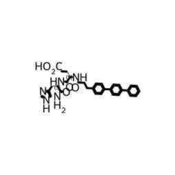 NC(=O)[C@H](Cc1c[nH]cn1)NC(=O)[C@H](CCC(=O)O)NC(=O)CCc1ccc(-c2ccc(-c3ccccc3)cc2)cc1